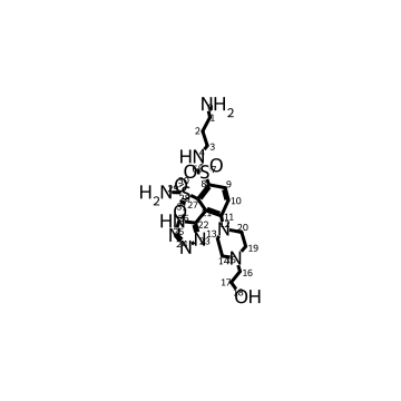 NCCCNS(=O)(=O)c1ccc(N2CCN(CCO)CC2)c(-c2nnn[nH]2)c1S(N)(=O)=O